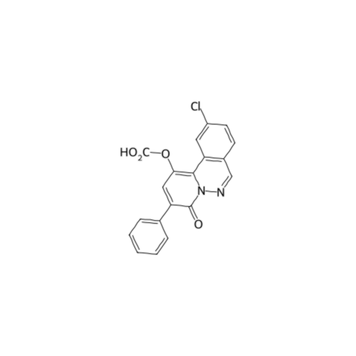 O=C(O)Oc1cc(-c2ccccc2)c(=O)n2ncc3ccc(Cl)cc3c12